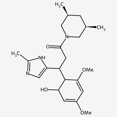 COC1=CC(O)C(C(CC(=O)N2C[C@H](C)C[C@H](C)C2)c2cnc(C)[nH]2)C(OC)=C1